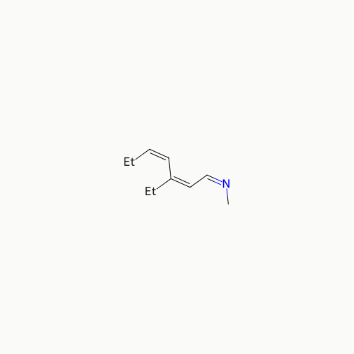 CC\C=C/C(=C\C=N/C)CC